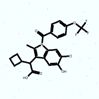 Cc1c(C(C(=O)O)C2CCC2)c2cc(O)c(Cl)cc2n1C(=O)c1ccc(OC(F)(F)F)cc1